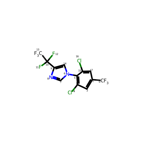 FC(F)(F)c1cc(Cl)c(-n2cnc(C(F)(F)C(F)(F)F)c2)c(Cl)c1